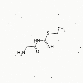 CCSC(=N)NC(=O)CN